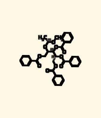 CO[C@@H](C)OC(COC(=O)c1ccccc1)[C@@H](OC(=O)c1ccccc1)[C@@H](COC(=O)c1ccccc1)OC(=O)c1ccccc1